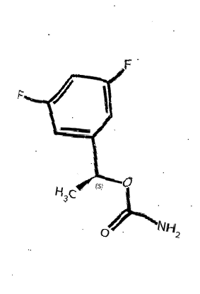 C[C@H](OC(N)=O)c1cc(F)cc(F)c1